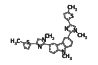 Cc1ccc(-c2cn(C)c(-c3ccc4c(c3)c3cc(-c5nc(-c6ccc(C)s6)cn5C)ccc3n4C)n2)s1